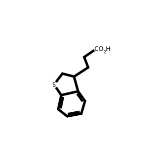 O=C(O)CCC1CSc2ccccc21